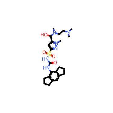 CN(C)CCN(C)C(O)c1cc(S(=O)(=O)NC(=O)Nc2c3c(cc4c2CCC4)CCC3)nn1C